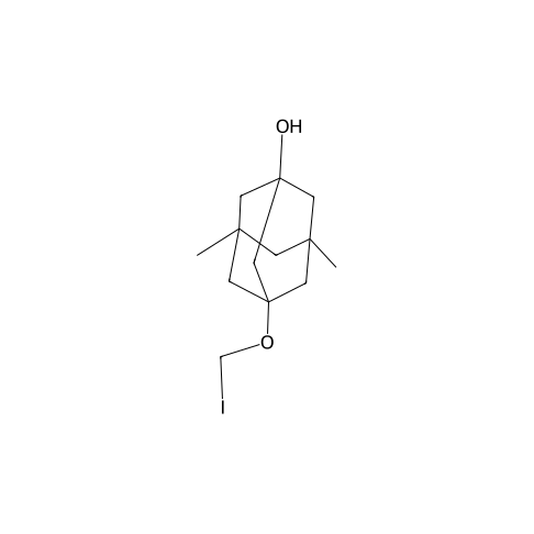 CC12CC3(C)CC(O)(C1)CC(OCI)(C2)C3